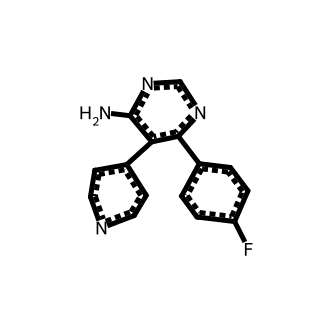 Nc1ncnc(-c2ccc(F)cc2)c1-c1ccncc1